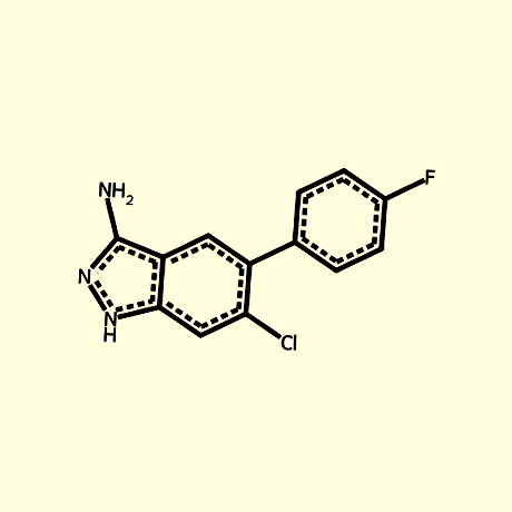 Nc1n[nH]c2cc(Cl)c(-c3ccc(F)cc3)cc12